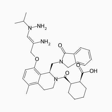 Cc1ccc(OC/C(N)=C/N(N)C(C)C)c2c1CCN(C(=O)[C@@H]1CCCC[C@@H]1C(=O)O)[C@@H]2CN1Cc2ccccc2C1=O